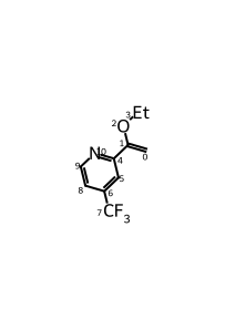 C=C(OCC)c1cc(C(F)(F)F)ccn1